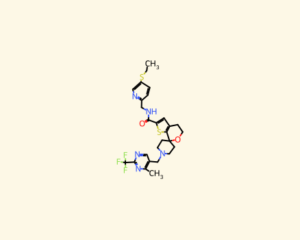 CCSc1ccc(CNC(=O)c2cc3c(s2)C2(CCN(Cc4cnc(C(F)(F)F)nc4C)CC2)OCC3)nc1